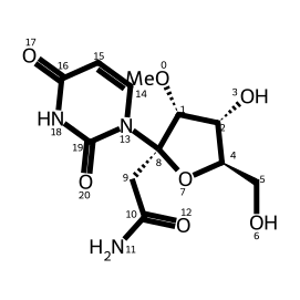 CO[C@@H]1[C@H](O)[C@@H](CO)O[C@@]1(CC(N)=O)n1ccc(=O)[nH]c1=O